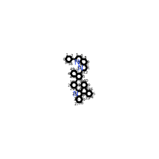 c1ccc(-c2ccc3ccc4ccc(-c5ccc(-c6cccc(-c7nc8ccccc8c8c9ccccc9c9ccccc9c78)c6)c6ccccc56)nc4c3n2)cc1